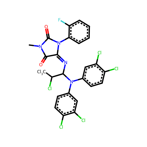 CN1C(=O)C(=NC(C(Cl)C(Cl)(Cl)Cl)N(c2ccc(Cl)c(Cl)c2)c2ccc(Cl)c(Cl)c2)N(c2ccccc2F)C1=O